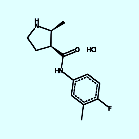 Cc1cc(NC(=O)[C@H]2CCN[C@H]2C)ccc1F.Cl